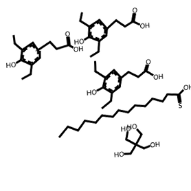 CCCCCCCCCCCCCCC(O)=S.CCc1cc(CCC(=O)O)cc(CC)c1O.CCc1cc(CCC(=O)O)cc(CC)c1O.CCc1cc(CCC(=O)O)cc(CC)c1O.OCC(CO)(CO)CO